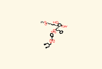 C#CCC(CC#C)COC(=O)c1ccc(OC(=O)OC(CCc2ccccc2)CC[C@@H]2[C@@H](CC=CCCCC(=O)OC(C)C)[C@@H](O)C[C@H]2O)cc1